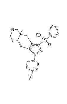 CC12CNCCC1=Cc1c(c(S(=O)(=O)c3ccccc3)nn1-c1ccc(F)cc1)C2